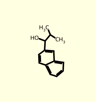 CC(C)C(O)c1ccc2ccccc2c1